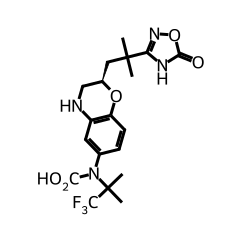 CC(C)(C[C@@H]1CNc2cc(N(C(=O)O)C(C)(C)C(F)(F)F)ccc2O1)c1noc(=O)[nH]1